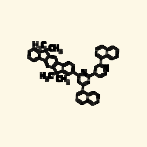 CC1(C)c2ccccc2-c2cc3c(cc21)-c1ccc(-c2cc(-c4cccc5ccccc45)cc(-c4ccnc(-c5cccc6ccccc56)c4)n2)cc1C3(C)C